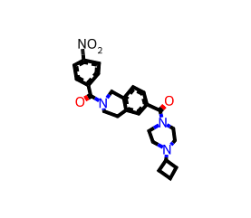 O=C(c1ccc2c(c1)CCN(C(=O)c1ccc([N+](=O)[O-])cc1)C2)N1CCN(C2CCC2)CC1